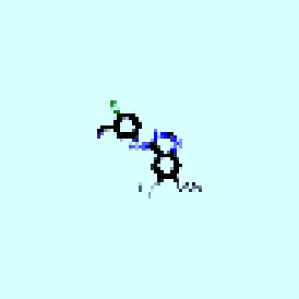 COc1cc2ncnc(Nc3ccc(F)c(CI)c3)c2cc1C